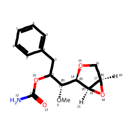 CO[C@H](C(Cc1ccccc1)OC(N)=O)[C@H]1OC[C@H]2O[C@@H]12